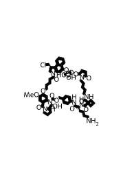 COc1cc2c(cc1OCCCCC(=O)N1C[C@@H](CCl)c3c1cc(OP(=O)(O)O)c1ccccc31)N(C(=O)OCc1ccc(NC(=O)[C@H](CCCCN)NC(=O)C3(C(=O)NCCCCCN4C(=O)C=CC4=O)CCC3)cc1)C(O)[C@@H]1CCCN1C2=O